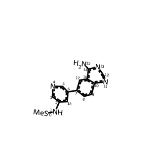 CSNc1cncc(-c2ccc3ncnc(N)c3c2)c1